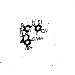 CCCc1ccc(CN(C(=O)C2CC2)c2nc(Nc3cc(F)c(C#N)cc3CC)cc3c2ncn3C)c(OC)c1